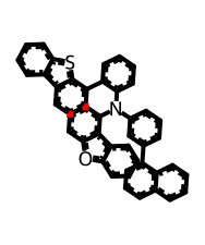 c1cc(-c2cccc3ccccc23)cc(N(c2ccccc2-c2cccc3c2sc2ccccc23)c2cccc3oc4ccccc4c23)c1